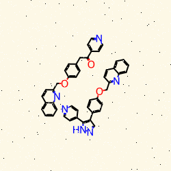 O=C(Cc1ccc(OCc2ccc3ccccc3n2)cc1)c1ccncc1.c1ccc2nc(COc3ccc(-c4cn[nH]c4-c4ccncc4)cc3)ccc2c1